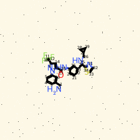 NCc1cccc(-n2nc(C(F)(F)F)cc2C(=O)Nc2cccc(C(NCC3CC3)c3nccs3)c2)c1